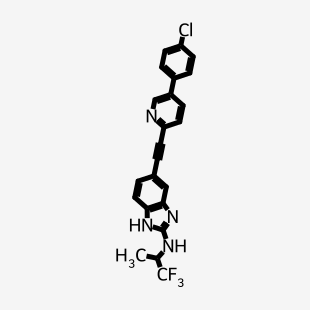 CC(Nc1nc2cc(C#Cc3ccc(-c4ccc(Cl)cc4)cn3)ccc2[nH]1)C(F)(F)F